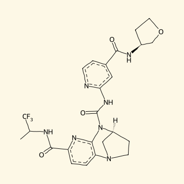 CC(NC(=O)c1ccc2c(n1)N(C(=O)Nc1cc(C(=O)N[C@H]3CCOC3)ccn1)[C@H]1CCN2C1)C(F)(F)F